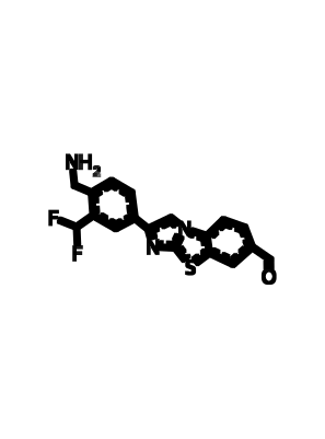 NCc1ccc(-c2cn3c(n2)sc2cc(C=O)ccc23)cc1C(F)F